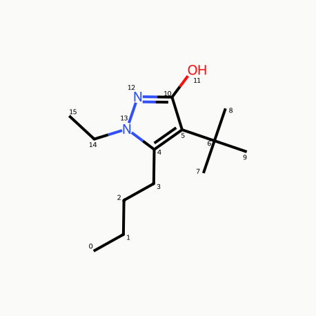 CCCCc1c(C(C)(C)C)c(O)nn1CC